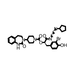 O=C(N=C=C=NC1CCCC1)[C@@H](Cc1ccc(O)c(Br)c1)OC(=O)N1CCC(N2CCc3ccccc3NC2=O)CC1